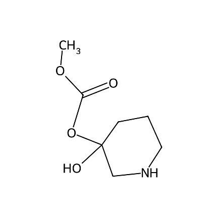 COC(=O)OC1(O)CCCNC1